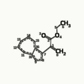 C=C(C(=O)OCC)c1ccc2cccccc1-2